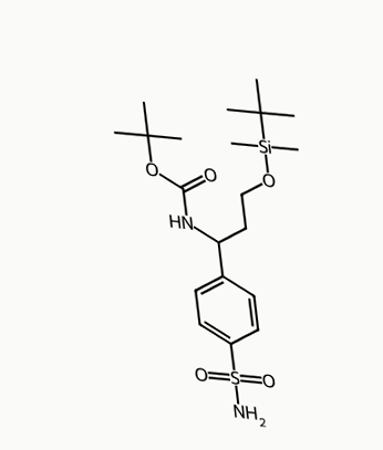 CC(C)(C)OC(=O)NC(CCO[Si](C)(C)C(C)(C)C)c1ccc(S(N)(=O)=O)cc1